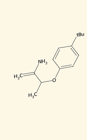 C=C(N)C(C)Oc1ccc(C(C)(C)C)cc1